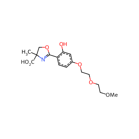 COCCOCCOc1ccc(C2=NC(C)(C(=O)O)CO2)c(O)c1